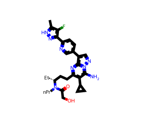 CCCN(C(=O)CO)[C@H](CC)CCc1nc2c(-c3ccc(-c4n[nH]c(C)c4F)nc3)cnn2c(N)c1C1CC1